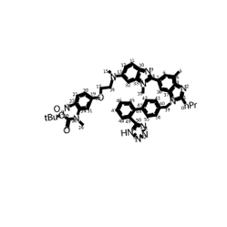 CCCc1nc2c(C)cc(-c3nc4ccc(N(C)CCOc5ccc([N+](=O)[O-])c(N(C)C(=O)OC(C)(C)C)c5)cc4n3C)cc2n1Cc1ccc(-c2ccccc2-c2nnn[nH]2)cc1